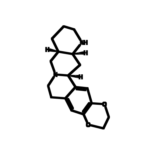 c1c2c(cc3c1OCCO3)[C@@H]1C[C@@H]3NCCC[C@@H]3CN1CC2